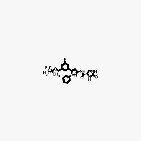 CC(C)(OCc1cc(F)cc(-c2cc(NC(=O)[C@H]3CNC(=O)N3)nn2-c2ccccc2)c1)C(F)(F)F